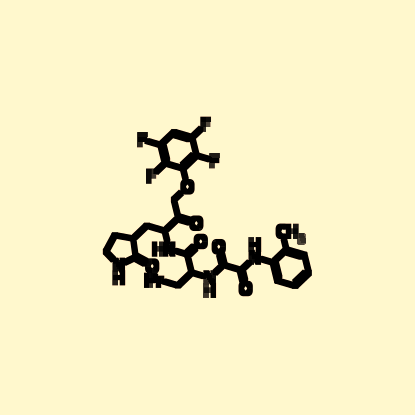 Cc1ccccc1NC(=O)C(=O)NC(CC(C)C)C(=O)NC(CC1CCNC1=O)C(=O)COc1c(F)c(F)cc(F)c1F